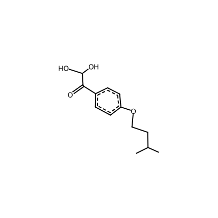 CC(C)CCOc1ccc(C(=O)C(O)O)cc1